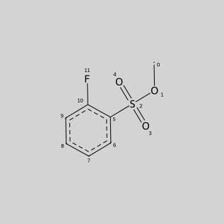 [CH2]OS(=O)(=O)c1ccccc1F